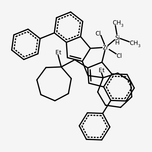 CCC1(CC2=Cc3c(-c4ccccc4)cccc3[CH]2[Zr]([Cl])([Cl])([CH]2C(CC3(CC)CCCCCC3)=Cc3c(-c4ccccc4)cccc32)[SiH](C)C)CCCCCC1